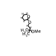 COC(C)(C)CCOC1CCCCO1